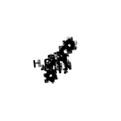 CC(C)(Oc1ccccc1)C(=O)Nc1sc(Cc2ccccc2)cc1C#N